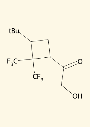 CC(C)(C)C1CC(C(=O)CO)C1(C(F)(F)F)C(F)(F)F